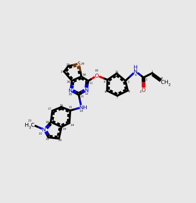 C=CC(=O)Nc1cccc(Oc2nc(Nc3ccc4c(ccn4C)c3)nc3ccsc23)c1